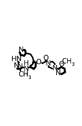 COc1cccnc1N1CCN(C(=O)COc2ccc3cc2CCc2cncc(c2)Nc2ncc(C)c(n2)N3)CC1